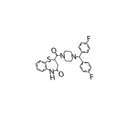 O=C1CC(C(=O)N2CCN(C(c3ccc(F)cc3)c3ccc(F)cc3)CC2)Sc2ccccc2N1